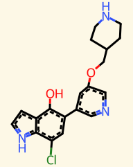 Oc1c(-c2cncc(OCC3CCNCC3)c2)cc(Cl)c2[nH]ccc12